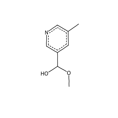 COC(O)c1cncc(C)c1